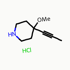 CC#CC1(OC)CCNCC1.Cl